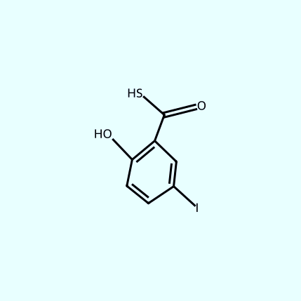 O=C(S)c1cc(I)ccc1O